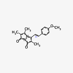 COc1ccc(/C=C/c2c(C)c(=O)n3c(=O)c(C)c(C)n23)cc1